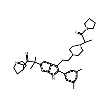 Cc1cc(C)cc(-c2[nH]c3sc(C(C)(C)C(=O)C4C5CCN4CC5)cc3c2CCN2CCN(C(C)C(=O)N3CCCC3)CC2)c1